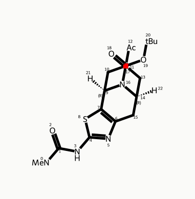 CNC(=O)Nc1nc2c(s1)[C@H]1CN(C(C)=O)C[C@@H](C2)N1C(=O)OC(C)(C)C